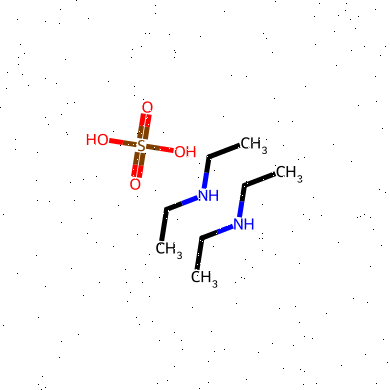 CCNCC.CCNCC.O=S(=O)(O)O